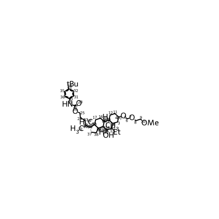 CC[C@@H]1C2C[C@H](OCOCCOC)CC[C@]2(C)[C@H]2CC[C@]3(C)[C@@H]([C@H](C)CCCOC(=O)Nc4ccc(C(C)(C)C)cc4)CC[C@H]3C2[C@@H]1O